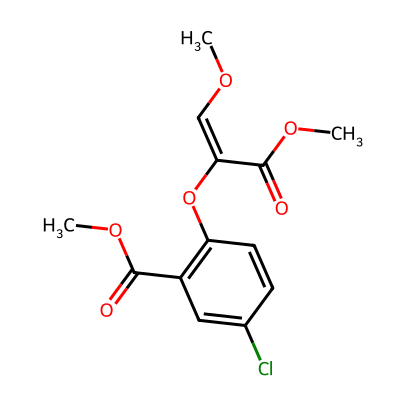 COC=C(Oc1ccc(Cl)cc1C(=O)OC)C(=O)OC